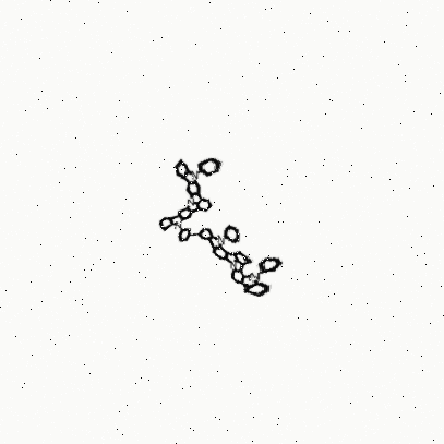 c1ccc(-n2c3ccccc3c3cc4c(cc32)c2cccc3c5cc6c(cc5n4c23)c2ccccc2n6-c2cccc(-c3ccc4c(c3)c3ccc5c(c6cccc7c8c9c(ccc8n5c76)c5ccccc5n9-c5ccccc5)c3n4-c3ccccc3)c2)cc1